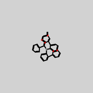 C=C/C=C\C=C(/c1ccccc1)N(c1ccccc1-c1ccccc1)c1ccccc1-c1ccccc1